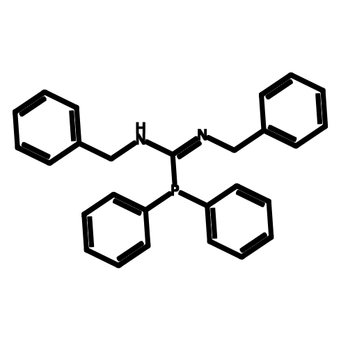 c1ccc(C/N=C(/NCc2ccccc2)P(c2ccccc2)c2ccccc2)cc1